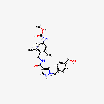 C=C(/C=C(C)\C(CNC(=O)c1cnn(Cc2ccc(CO)cc2)c1)=C(\C)N)NC(=O)OC(C)(C)C